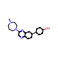 CN1CCCN(c2cnc3ccc(-c4ccc(O)cc4)cc3n2)CC1